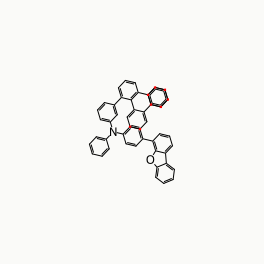 c1ccc(-c2ccccc2-c2c(-c3ccccc3)cccc2-c2cccc(N(c3ccccc3)c3ccc(-c4cccc5c4oc4ccccc45)cc3)c2)cc1